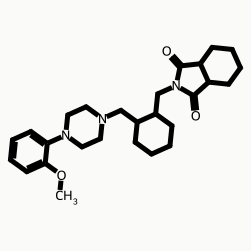 COc1ccccc1N1CCN(CC2CCCCC2CN2C(=O)C3CCCCC3C2=O)CC1